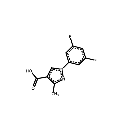 Cc1nn(-c2cc(F)cc(F)c2)cc1C(=O)O